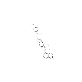 Cn1c(CNc2ccc(C(=N)N)cc2)nc2cc(N(CC(=O)O)S(=O)(=O)c3cccc4cccnc34)ccc21